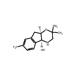 CC1(C)CN[C@H]2c3ccc(C(F)(F)F)cc3C[C@H]2O1.Cl